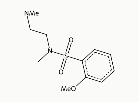 CNCCN(C)S(=O)(=O)c1ccccc1OC